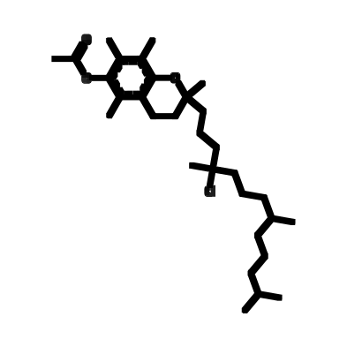 CC(=O)Oc1c(C)c(C)c2c(c1C)CCC(C)(CCCC(C)(Cl)CCCC(C)CCCC(C)C)O2